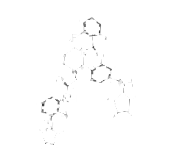 Cc1cccc(F)c1C(=O)N1CCC[C@H](CC(=O)Nc2cccc(N3CCCC3)c2F)[C@@H]1c1ccc(NC2CCCC2)cc1